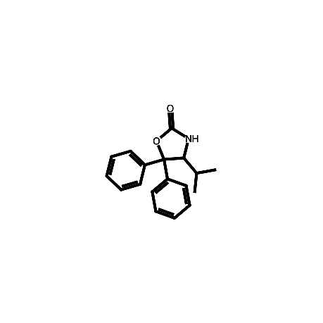 CC(C)C1NC(=O)OC1(c1ccccc1)c1ccccc1